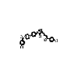 O=C(c1ccc(Cl)cc1)N1CCN(c2ccc(-n3cnn(CCCC(O)c4ccc(Cl)cc4)c3=O)cc2)CC1